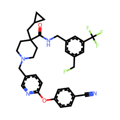 N#Cc1ccc(Oc2ccc(CN3CCC(CC4CC4)(C(=O)NCc4cc(CF)cc(C(F)(F)F)c4)CC3)cn2)cc1